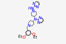 CCOc1cc(CN2CCC(N(c3ncccn3)C3CCN(Nc4ncccn4)CC3)CC2)cc(OCC)c1